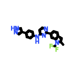 Cc1cc2ccc(-c3nccc(Nc4ccc(-c5cn[nH]c5)cc4)n3)cc2n1C(F)F